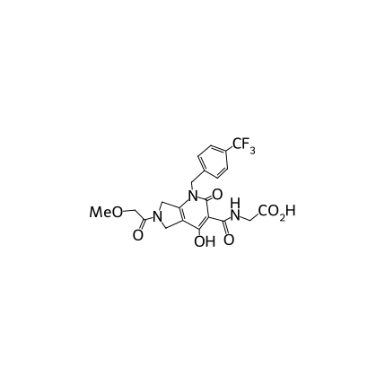 COCC(=O)N1Cc2c(O)c(C(=O)NCC(=O)O)c(=O)n(Cc3ccc(C(F)(F)F)cc3)c2C1